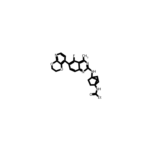 CCC(=O)NC12CCC(Nc3nc(C)c4c(F)c(-c5ccnc6c5OCCO6)ccc4n3)(CC1)C2